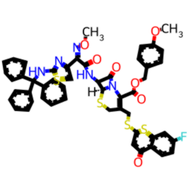 CO/N=C(\C(=O)NC1C(=O)N2C(C(=O)OCc3ccc(OC)cc3)=C(CSc3cc(=O)c4ccc(F)cc4s3)CS[C@@H]12)c1csc(NC(c2ccccc2)(c2ccccc2)c2ccccc2)n1